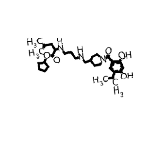 CC(C)CC(NCCCNCC1CCN(C(=O)c2cc(C(C)C)c(O)cc2O)CC1)C(=O)OC1CCCC1